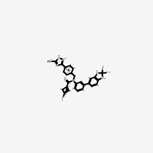 CC(C)(C)c1nc(C23CCC(CN(C(=O)C45CC(F)(C4)C5)c4cccc(-c5ccc6c(c5)OC(F)(F)O6)c4)(CC2)CC3)no1